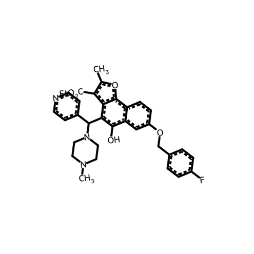 CCOC(=O)c1c(C)oc2c1c(C(c1ccncc1)N1CCN(C)CC1)c(O)c1cc(OCc3ccc(F)cc3)ccc12